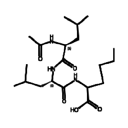 CCCCC(NC(=O)[C@H](CC(C)C)NC(=O)[C@H](CC(C)C)NC(C)=O)C(=O)O